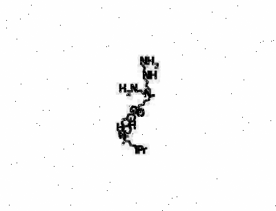 C=C(CCCCC(=O)O[C@H]1CC[C@@]2(C)C(=CC[C@H]3[C@@H]4CC[C@H]([C@H](C)CCCC(C)C)[C@@]4(C)CC[C@@H]32)C1)N(CCCN)CCCCNCCCN